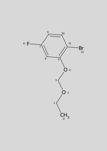 CCOCOc1cc(F)ccc1Br